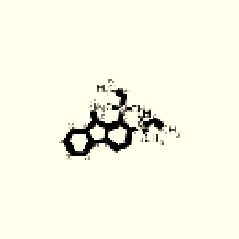 C=C[Si](C)(C)c1ccc2c(c1[Si](C)(C)C=C)C(=O)c1ccccc1-2